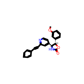 COc1cccc([C@@H]2OC(=O)N[C@H]2c2ccnc(C#Cc3ccccc3)c2)c1